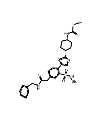 CC(C)OC(=O)N[C@H]1CC[C@H](c2ncc(-c3ccc(CC(=O)NCc4ccccc4)cc3S(=O)(=O)NC(C)(C)C)s2)CC1